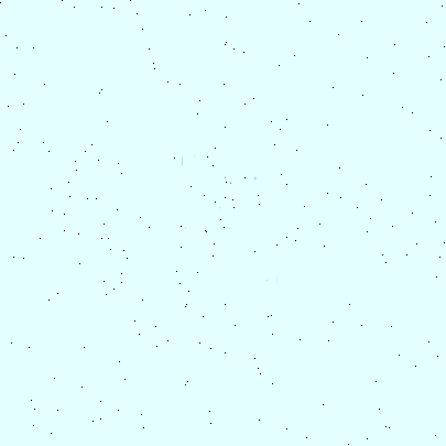 Cc1ccc(O)c(N(C)C)c1